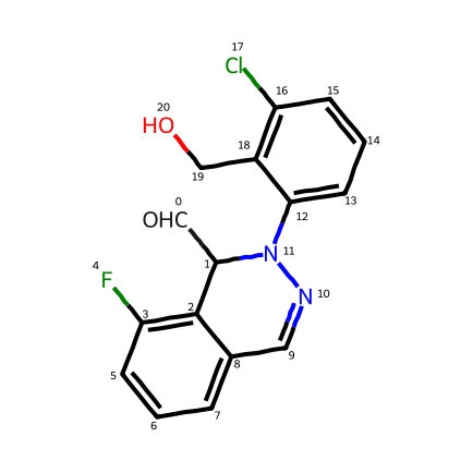 O=CC1c2c(F)cccc2C=NN1c1cccc(Cl)c1CO